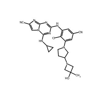 CC1(O)CN(C2CCN(c3cc(C#N)cc(Nc4nc(NC5CC5)n5cc(C#N)nc5n4)c3Cl)C2)C1